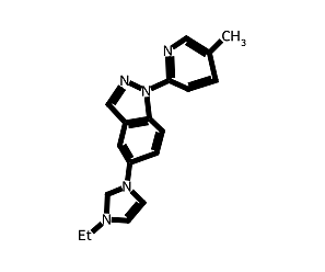 CCN1C=CN(c2ccc3c(cnn3-c3ccc(C)cn3)c2)C1